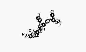 CN1CCC(C[C@H]2COc3cc(S(=O)(=O)NC(=O)c4ccc(N5CCN(CC6=C(c7ccc(Cl)cc7)CC(C)(C)CC6)CC5)cc4Oc4cnc5[nH]ccc5c4)cc([N+](=O)[O-])c3N2)CC1